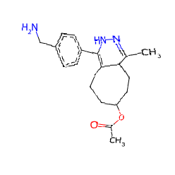 CC(=O)OC1CCCC2=C(c3ccc(CN)cc3)NN=C(C)C2CC1